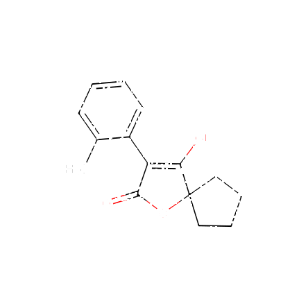 Cc1ccccc1C1=C(O)C2(CCCC2)OC1=O